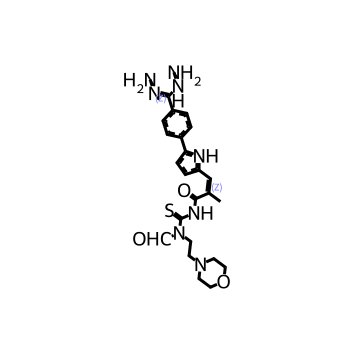 C/C(=C/c1ccc(-c2ccc(/C(=N/N)NN)cc2)[nH]1)C(=O)NC(=S)N(C=O)CCN1CCOCC1